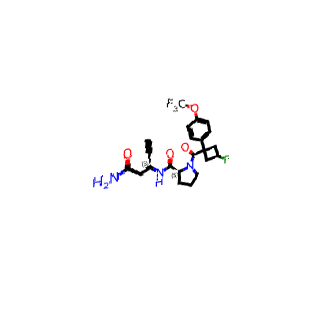 C#C[C@H](CC(N)=O)NC(=O)[C@@H]1CCCN1C(=O)C1(c2ccc(OC(F)(F)F)cc2)CC(F)C1